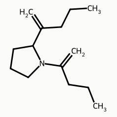 C=C(CCC)C1CCCN1C(=C)CCC